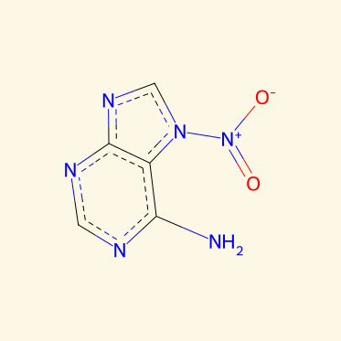 Nc1ncnc2ncn([N+](=O)[O-])c12